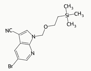 C[Si](C)(C)CCOCn1cc(C#N)c2cc(Br)cnc21